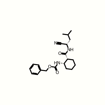 CC(C)C[C@@H](C#N)NC(=O)[C@@H]1CCCC[C@@H]1NC(=O)OCc1ccccc1